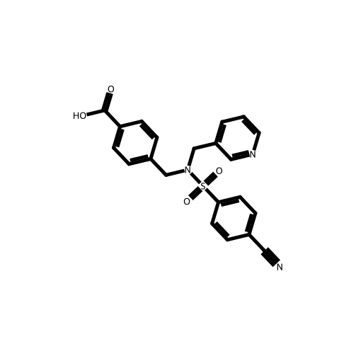 N#Cc1ccc(S(=O)(=O)N(Cc2ccc(C(=O)O)cc2)Cc2cccnc2)cc1